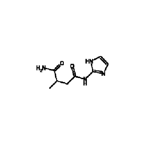 CC(CC(=O)Nc1ncc[nH]1)C(N)=O